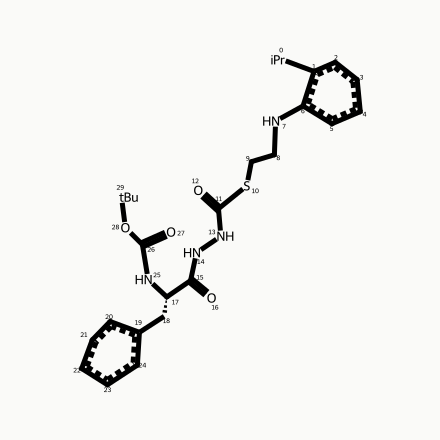 CC(C)c1ccccc1NCCSC(=O)NNC(=O)[C@H](Cc1ccccc1)NC(=O)OC(C)(C)C